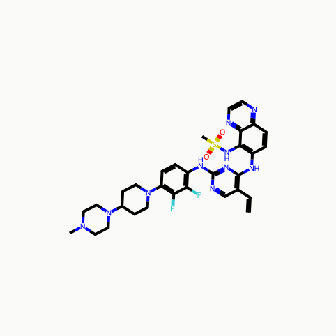 C=Cc1cnc(Nc2ccc(N3CCC(N4CCN(C)CC4)CC3)c(F)c2F)nc1Nc1ccc2nccnc2c1NS(C)(=O)=O